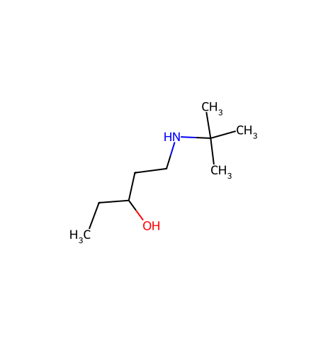 CCC(O)CCNC(C)(C)C